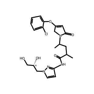 CC(CC(C)N1CC(Oc2ccccc2Cl)=CC1=O)C(=O)Nc1ccn(C[C@@H](O)CO)n1